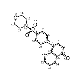 O=c1ccn(-c2ccc(S(=O)(=O)N3CCOCC3)cc2)c2ccccc12